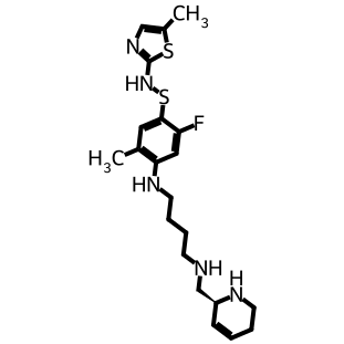 Cc1cnc(NSc2cc(C)c(NCCCCNC[C@@H]3C=CCCN3)cc2F)s1